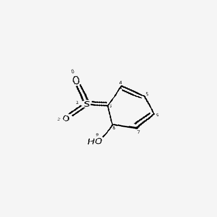 O=S(=O)=C1[C]=CC=CC1O